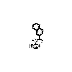 S=C(Nc1ncc[nH]1)c1ccc2ccccc2c1